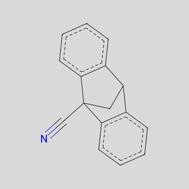 N#CC12CC(c3ccccc31)c1ccccc12